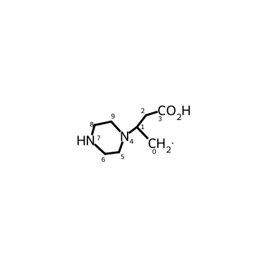 [CH2]C(CC(=O)O)N1CCNCC1